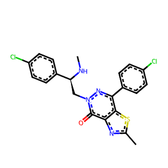 CN[C@@H](Cn1nc(-c2ccc(Cl)cc2)c2sc(C)nc2c1=O)c1ccc(Cl)cc1